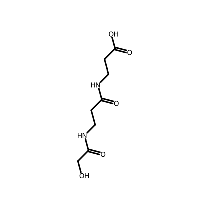 O=C(O)CCNC(=O)CCNC(=O)CO